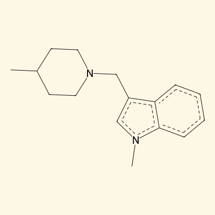 CC1CCN(Cc2cn(C)c3ccccc23)CC1